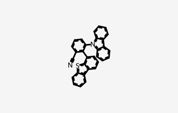 N#Cc1cccc(-n2c3ccccc3c3ccccc32)c1-c1cccc2c1sc1ccccc12